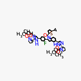 CC(C)(C)OC(=O)N1CCC[C@H]1c1ncc(-c2cc(F)c3c(c2)OC(c2ccc(C4CC4)s2)n2c-3cc3cc(-c4cnc([C@@H]5CCCN5C(=O)OC(C)(C)C)[nH]4)ccc32)[nH]1